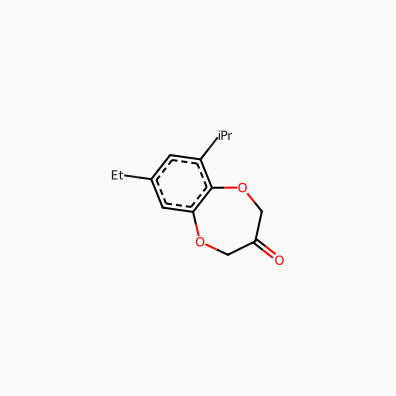 CCc1cc2c(c(C(C)C)c1)OCC(=O)CO2